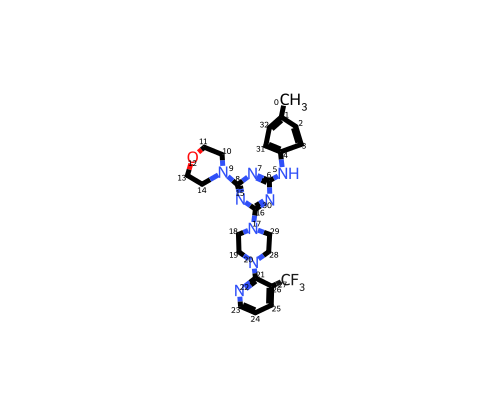 Cc1ccc(Nc2nc(N3CCOCC3)nc(N3CCN(c4ncccc4C(F)(F)F)CC3)n2)cc1